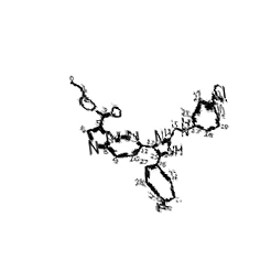 CCOC(=O)c1cnc2ccc(-c3nc(CNc4ccc(Cl)cc4)[nH]c3-c3ccc(F)cc3)nn12